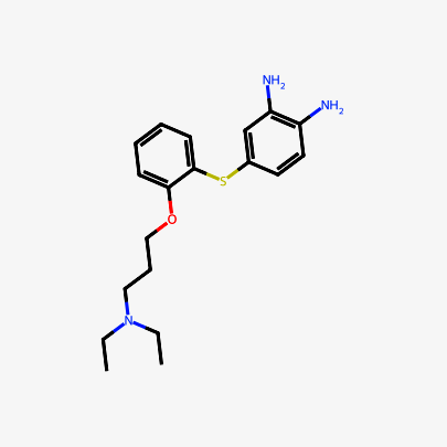 CCN(CC)CCCOc1ccccc1Sc1ccc(N)c(N)c1